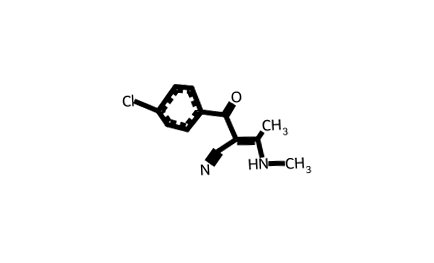 CN/C(C)=C(\C#N)C(=O)c1ccc(Cl)cc1